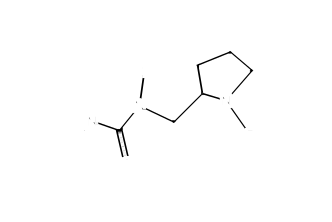 CCN1CCCC1CN(S)C(N)=O